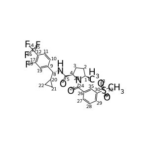 C[C@@H]1CC[C@H](C(=O)N[C@@H](c2ccc(C(F)(F)F)c(F)c2)C2CC2)N1C(=O)c1cccc(S(C)(=O)=O)c1